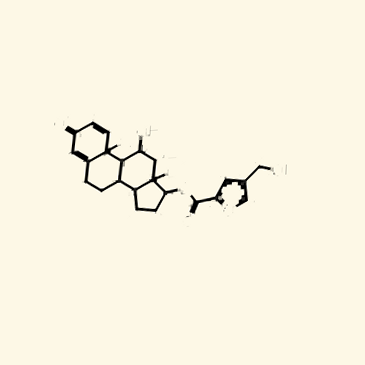 CC12C=CC(=O)C=C1CCC1C2C(O)CC2(C)C(OC(=O)c3cc(CO)co3)CCC12